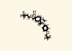 O=C1N(c2ccc(OCC(F)(F)F)cc2)CC[C@]12CC[C@@](O)(COCCC(F)(F)F)CC2